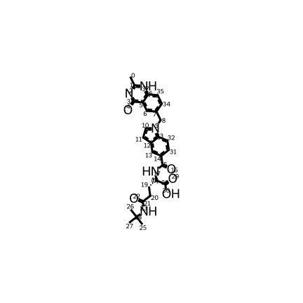 Cc1nc(=O)c2cc(Cn3ccc4cc(C(=O)N[C@@H](CCC(=O)NC(C)(C)C)C(=O)O)ccc43)ccc2[nH]1